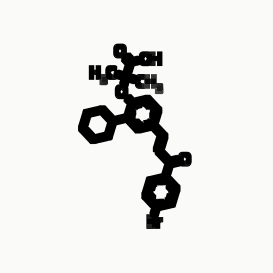 CC(C)(Oc1ccc(C=CC(=O)c2ccc(Br)cc2)cc1C1CCCCC1)C(=O)O